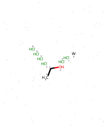 CCO.Cl.Cl.Cl.Cl.Cl.Cl.[W]